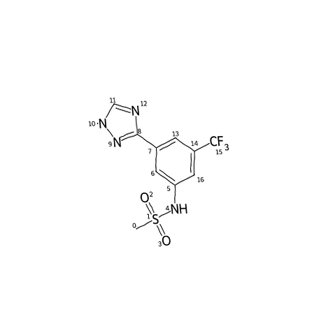 CS(=O)(=O)Nc1cc(C2=N[N]C=N2)cc(C(F)(F)F)c1